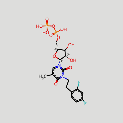 Cc1cn([C@@H]2O[C@H](COP(=O)(O)OP(=O)(O)O)C(O)[C@@H]2O)c(=O)n(CCc2ccc(F)cc2F)c1=O